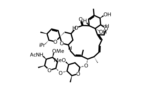 CO[C@H]1C[C@H](O[C@H]2[C@H](C)O[C@@H](O[C@@H]3/C(C)=C/C[C@@H]4C[C@@H](C[C@]5(C=C[C@H](C)[C@@H](C(C)C)O5)O4)OC(=O)[C@@H]4C=C(C)[C@@H](O)[C@H]5OC/C(=C\C=C\[C@@H]3C)[C@]54O)C[C@@H]2OC)O[C@@H](C)[C@H]1NC(C)=O